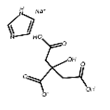 O=C(O)CC(O)(CC(=O)O)C(=O)[O-].[Na+].c1c[nH]cn1